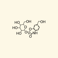 O=C1Nc2ccc(CO)cc2O[C@@H]1OC1OC(CO)C(O)C(O)C1O